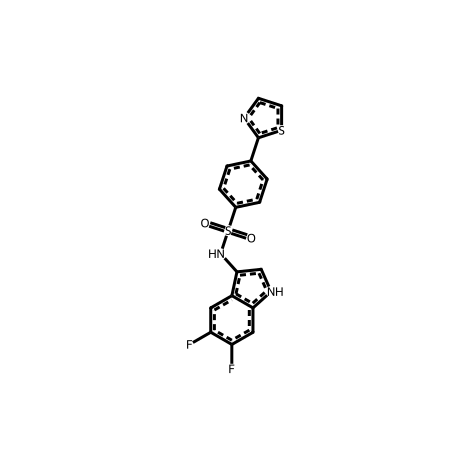 O=S(=O)(Nc1c[nH]c2cc(F)c(F)cc12)c1ccc(-c2nccs2)cc1